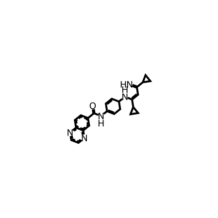 N=C(/C=C(\NC1C=CC(NC(=O)c2ccc3nccnc3c2)=CC1)C1CC1)C1CC1